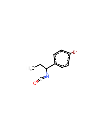 CCC(N=C=O)c1ccc(Br)cc1